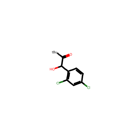 CC(C)(C)C(=O)C(O)c1ccc(Cl)cc1Cl